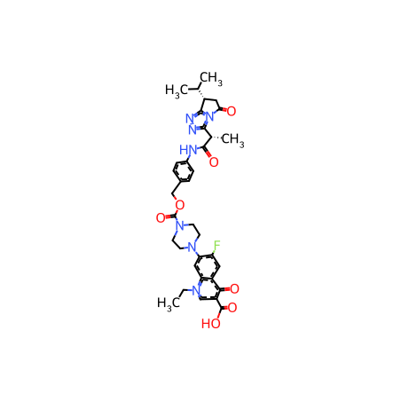 CCn1cc(C(=O)O)c(=O)c2cc(F)c(N3CCN(C(=O)OCc4ccc(NC(=O)[C@@H](C)c5nnc6n5C(=O)C[C@H]6C(C)C)cc4)CC3)cc21